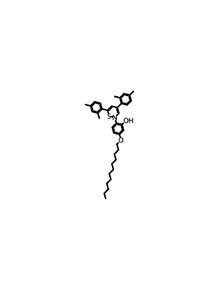 CCCCCCCCCCCCOc1ccc(N2C=C(c3ccc(C)cc3C)C=C(c3ccc(C)cc3C)S2)c(O)c1